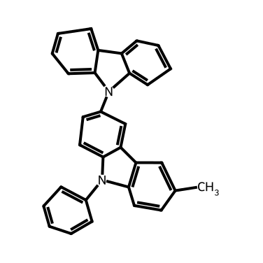 Cc1ccc2c(c1)c1cc(-n3c4ccccc4c4ccccc43)ccc1n2-c1ccccc1